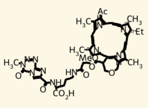 CC[C@@H]1c2cc3[nH]c4c(c3C)COCC(C(=O)OC)c4c3nc(cc4[nH]c(cc(n2)[C@H]1C)c(C(C)=O)c4C)[C@H](C)[C@H]3CCC(=O)NCCCC(NC(=O)c1cn2c(=O)n(C)nnc2n1)C(=O)O